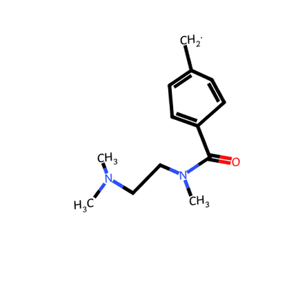 [CH2]c1ccc(C(=O)N(C)CCN(C)C)cc1